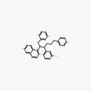 Fc1cccc([C](CCCc2ccccc2)C(Cc2ccccc2)c2cccc3ccccc23)c1